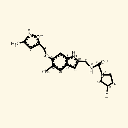 Cc1cc(COc2cc3[nH]c(CNC(=O)N4CC[C@@H](F)C4)cc3cc2Cl)on1